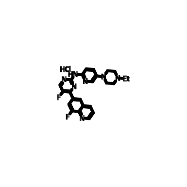 CCN1CCN(c2ccc(Nc3ncc(F)c(-c4cc(F)c5ncccc5c4)n3)nc2)CC1.Cl